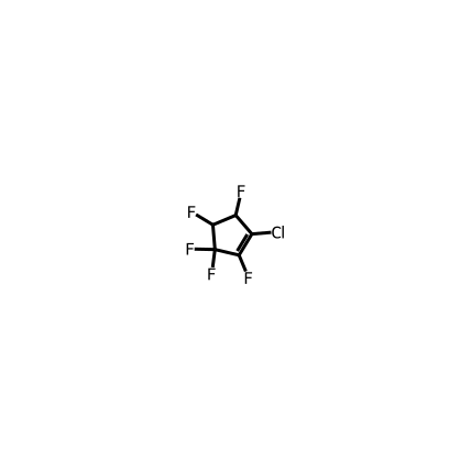 FC1=C(Cl)C(F)C(F)C1(F)F